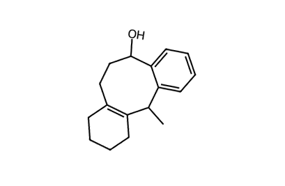 CC1C2=C(CCCC2)CCC(O)c2ccccc21